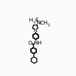 CN(C)C1CCN(c2ccc(NC(=O)c3ccc(C4CCCCC4)cc3)cc2)C1